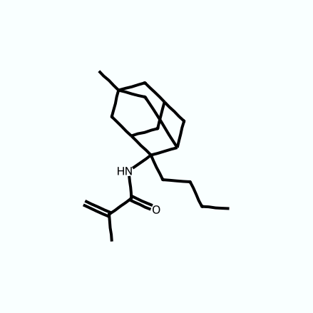 C=C(C)C(=O)NC1(CCCC)C2CC3CC1CC(C)(C3)C2